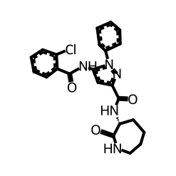 O=C(N[C@@H]1CCCCNC1=O)c1cc(NC(=O)c2ccccc2Cl)n(-c2ccccc2)n1